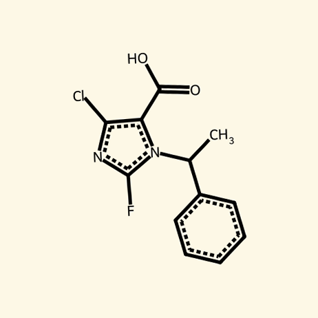 CC(c1ccccc1)n1c(F)nc(Cl)c1C(=O)O